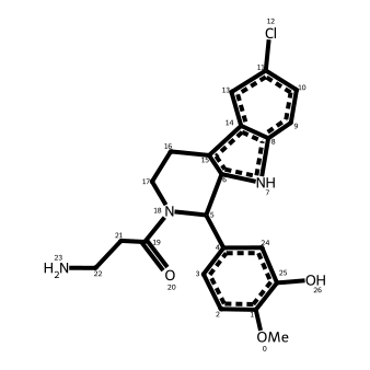 COc1ccc(C2c3[nH]c4ccc(Cl)cc4c3CCN2C(=O)CCN)cc1O